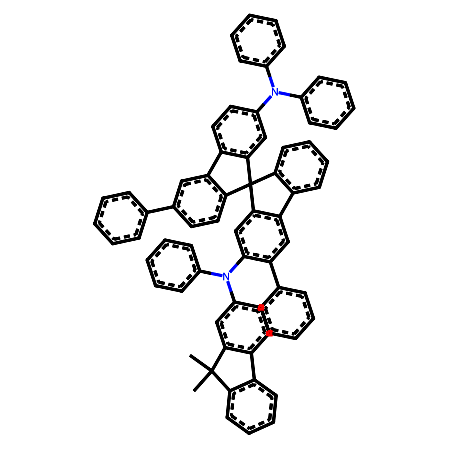 CC1(C)c2ccccc2-c2ccc(N(c3ccccc3)c3cc4c(cc3-c3ccccc3)-c3ccccc3C43c4ccc(-c5ccccc5)cc4-c4ccc(N(c5ccccc5)c5ccccc5)cc43)cc21